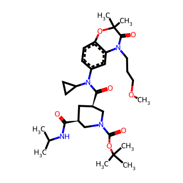 COCCCN1C(=O)C(C)(C)Oc2ccc(N(C(=O)[C@@H]3C[C@H](C(=O)NC(C)C)CN(C(=O)OC(C)(C)C)C3)C3CC3)cc21